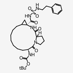 CC(C)(C)OC(=O)N[C@H]1CCCCCCCC2C[C@@]2(C(=O)NS(=O)(=O)NCCc2ccccc2)NC(=O)[C@@H]2CCCN2C1=O